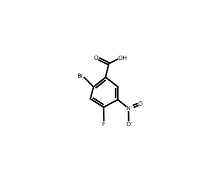 O=C(O)c1cc([N+](=O)[O-])c(F)cc1Br